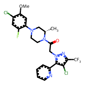 COc1cc(N2CCN(C(=O)Cn3nc(C(F)(F)F)c(Cl)c3-c3ccccn3)[C@@H](C)C2)c(F)cc1Cl